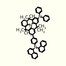 CC1(C)C2=C3C(CC=C2)C(C)(C)c2cc(N(c4ccccc4)c4ccccc4)cc4c2N3C2=C1CC(c1ccc(N(c3cccc5ccccc35)c3cccc5ccccc35)cc1)C=C2C4(C)C